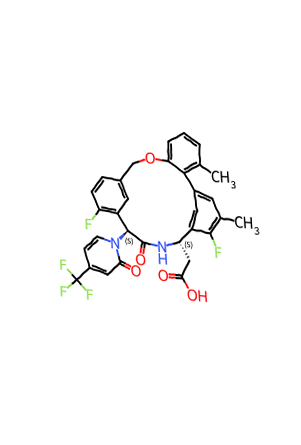 Cc1cc2cc(c1F)[C@H](CC(=O)O)NC(=O)[C@@H](n1ccc(C(F)(F)F)cc1=O)c1cc(ccc1F)COc1cccc(C)c1-2